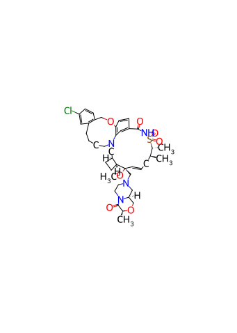 CO[C@@]1(CN2CCN3C(=O)[C@H](C)OC[C@@H]3C2)/C=C/C[C@H](C)[C@@H](C)S(=O)(=O)NC(=O)c2ccc3c(c2)N(CCCCc2cc(Cl)ccc2CO3)C[C@@H]2CC[C@H]21